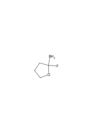 BC1(F)CCCO1